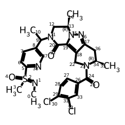 CN=S(C)(=O)c1ccc(C(C)N2C[C@@H](C)n3nc4c(c3C2=O)CN(C(=O)c2ccc(Cl)c(Cl)c2)[C@H](C)C4)cn1